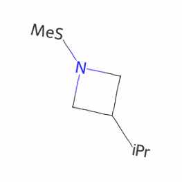 CSN1CC(C(C)C)C1